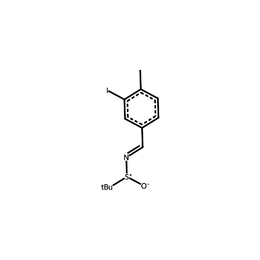 Cc1ccc(C=N[S+]([O-])C(C)(C)C)cc1I